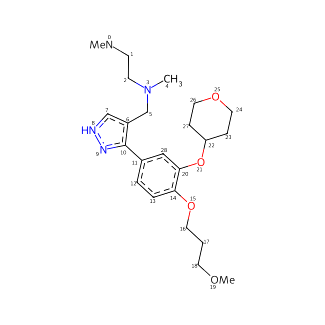 CNCCN(C)Cc1c[nH]nc1-c1ccc(OCCCOC)c(OC2CCOCC2)c1